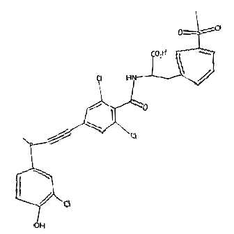 CP(C#Cc1cc(Cl)c(C(=O)NC(Cc2cccc(S(C)(=O)=O)c2)C(=O)O)c(Cl)c1)c1ccc(O)c(Cl)c1